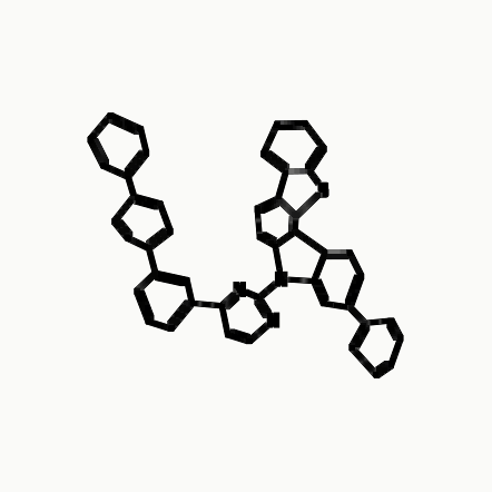 c1ccc(-c2ccc(-c3cccc(-c4ccnc(-n5c6cc(-c7ccccc7)ccc6c6c7sc8ccccc8c7ccc65)n4)c3)cc2)cc1